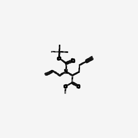 C#CCCC(C(=O)OC)N(CC=C)C(=O)OC(C)(C)C